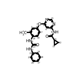 Cc1cc(Oc2cc(NC(=O)C3CC3)ncn2)ccc1NC(=O)Nc1ccccc1